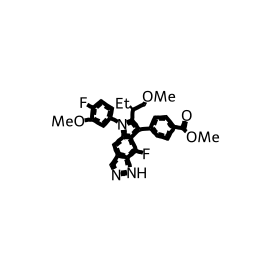 CC[C@@H](COC)c1c(-c2ccc(C(=O)OC)cc2)c2c(F)c3[nH]ncc3cc2n1-c1ccc(F)c(OC)c1